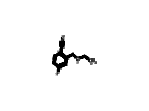 CCOCc1cc(F)ccc1C#N